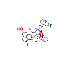 C#Cc1c(F)ccc2cc(O)cc(-c3nc4c5c(nc(OC[C@@]67CCCN6C[C@H](F)C7)nc5c3F)N3CC5CCC(C3CO4)N5C(=O)OCC)c12